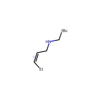 CC/C=C\CNCC(C)(C)C